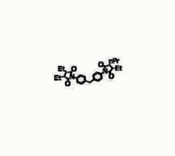 CCCC1C(=O)N(c2ccc(Cc3ccc(N4C(=O)C(CC)C(CC)C4=O)cc3)cc2)C(=O)C1CC